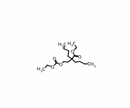 CCCCC(CCCC)(CCOC(=O)OCC)C(=O)OCC